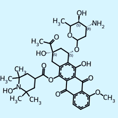 COc1cccc2c1C(=O)c1c(O)c3c(c(OC(=O)C4CC(C)(C)N(O)C(C)(C)C4)c1C2=O)C[C@@](O)(C(C)=O)C[C@@H]3OC1C[C@@H](N)[C@H](O)C(C)O1